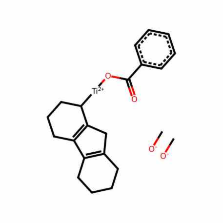 C[O-].C[O-].O=C([O][Ti+2][CH]1CCCC2=C1CC1=C2CCCC1)c1ccccc1